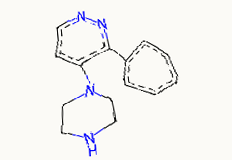 c1ccc(-c2nnccc2N2CCNCC2)cc1